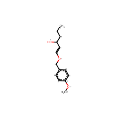 CCCC(O)/C=C/OCc1ccc(OC)cc1